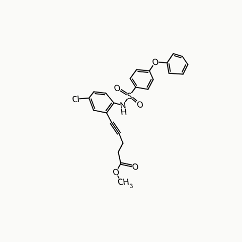 COC(=O)CCC#Cc1cc(Cl)ccc1NS(=O)(=O)c1ccc(Oc2ccccc2)cc1